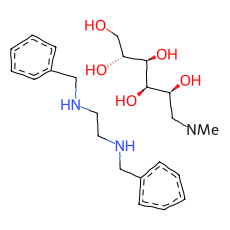 CNC[C@H](O)[C@@H](O)[C@H](O)[C@H](O)CO.c1ccc(CNCCNCc2ccccc2)cc1